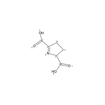 O=C(O)C1=NC(C(=O)O)CC1